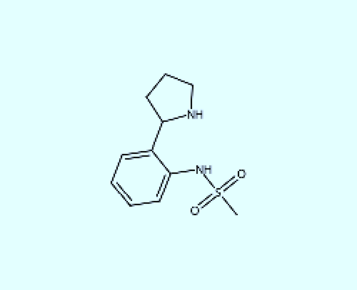 CS(=O)(=O)Nc1ccccc1C1CCCN1